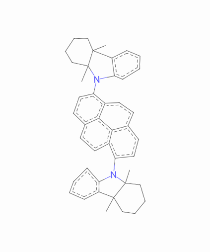 CC12CCCCC1(C)N(c1ccc3ccc4c(N5c6ccccc6C6(C)CCCCC56C)ccc5ccc1c3c54)c1ccccc12